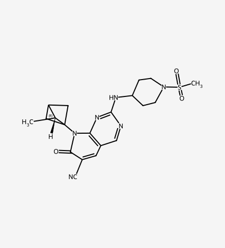 C[C@@H]1C2CC1(n1c(=O)c(C#N)cc3cnc(NC4CCN(S(C)(=O)=O)CC4)nc31)C2